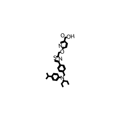 CCC(CC)N(Cc1ccc(-c2csc(COc3ccc(C(=O)O)cn3)n2)cc1)c1ccc(C(C)C)cc1